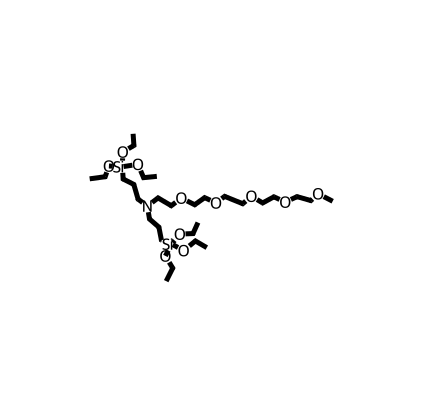 CCO[Si](CCCN(CCC[Si](OCC)(OCC)OCC)CCOCCOCCOCCOCCOC)(OCC)OCC